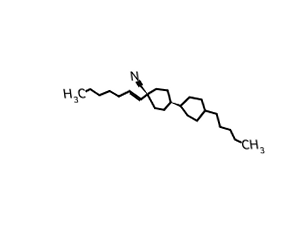 CCCCCC=C[C@]1(C#N)CC[C@@H](C2CCC(CCCCC)CC2)CC1